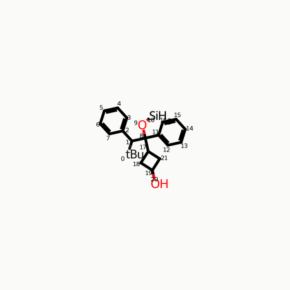 CC(C)(C)C(c1ccccc1)C(O[SiH3])(c1ccccc1)C1CC(O)C1